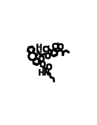 C=C(CC)C(=O)c1ccc(OCC(=O)NC2c3ccccc3CCc3ccc(OCC(=O)NCCCC)cc32)c(Cl)c1Cl